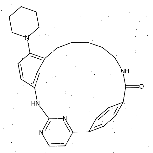 O=C1NCCCCCc2cc(ccc2N2CCCCC2)Nc2nccc(n2)-c2ccc1cc2